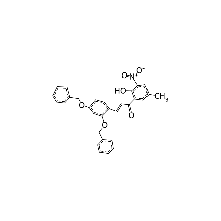 Cc1cc(C(=O)C=Cc2ccc(OCc3ccccc3)cc2OCc2ccccc2)c(O)c([N+](=O)[O-])c1